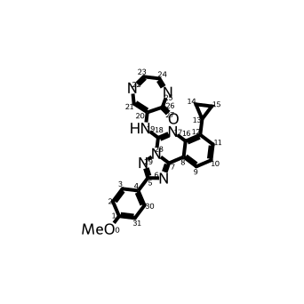 COc1ccc(-c2nc3c4cccc(C5CC5)c4nc(Nc4cnccnc4=O)n3n2)cc1